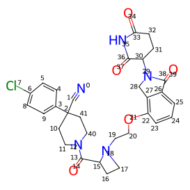 N#CC1(c2ccc(Cl)cc2)CCN(C(=O)C2CCN2CCOc2cccc3c2CN(C2CCC(=O)NC2=O)C3=O)CC1